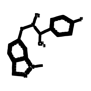 CCN(Sc1ccc2cnn(C)c2c1)C(c1ccc(F)cc1)C(F)(F)F